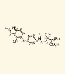 Cn1cc2c(Cl)c(Sc3cnc(N4CCC(C)(N(C(=O)O)C(C)(C)C)CC4)cn3)ccc2n1